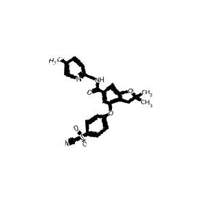 Cc1ccc(NC(=O)c2cc(Oc3ccc(S(=O)(=O)C#N)cc3)c3c(c2)OC(C)(C)C3)nc1